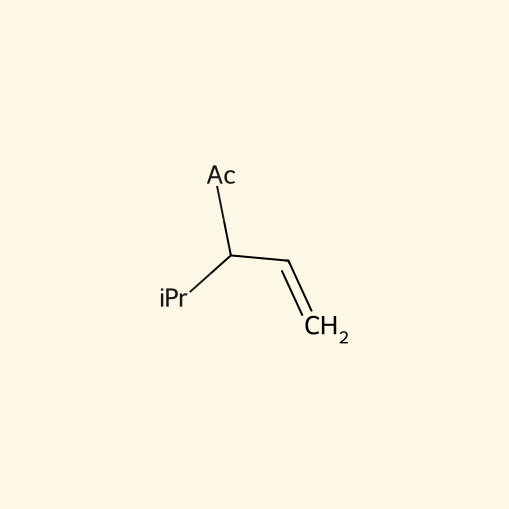 C=CC(C(C)=O)C(C)C